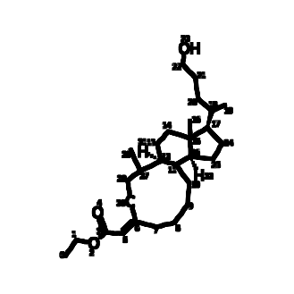 CCOC(=O)/C=C1/CCCCC2[C@H](CCC3(C)[C@@H](C(C)CCCO)CC[C@@H]23)C(C)CC1